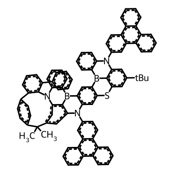 CC(C)(C)c1cc2c3c(c1)N(c1ccc4c5ccccc5c5ccccc5c4c1)c1ccccc1B3c1cc3c(cc1S2)N(c1ccc2c4ccccc4c4ccccc4c2c1)c1cc2cc4c1B3c1ccccc1N4c1c(-c3ccccc3)cccc1-c1ccc(cc1)C2(C)C